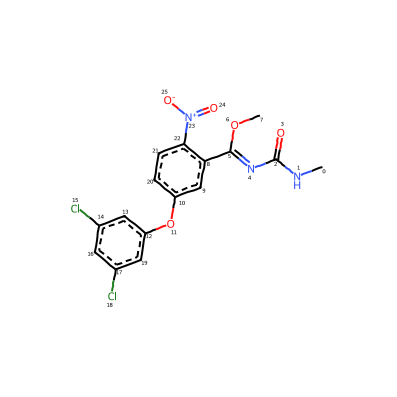 CNC(=O)N=C(OC)c1cc(Oc2cc(Cl)cc(Cl)c2)ccc1[N+](=O)[O-]